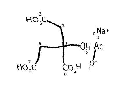 CC(=O)[O-].O=C(O)CC(O)(CC(=O)O)C(=O)O.[Na+]